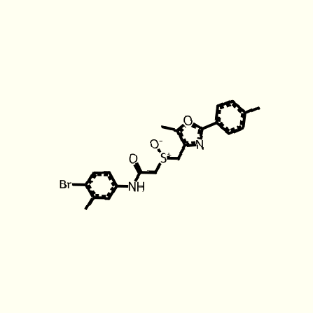 Cc1ccc(-c2nc(C[S+]([O-])CC(=O)Nc3ccc(Br)c(C)c3)c(C)o2)cc1